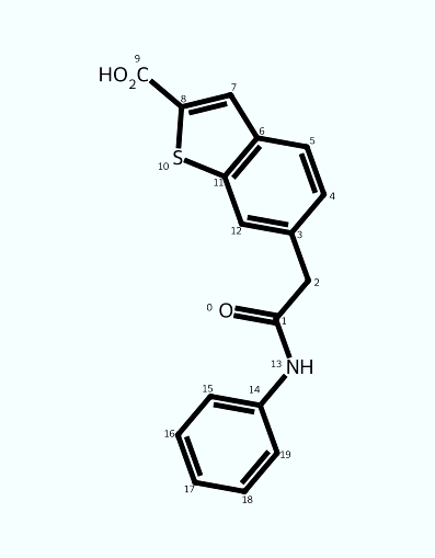 O=C(Cc1ccc2cc(C(=O)O)sc2c1)Nc1ccccc1